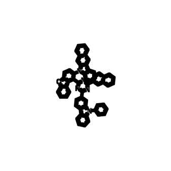 c1ccc(-n2c3ccccc3c3ccc(-c4nc(-c5ccc6ccccc6c5)nc(-c5c(-n6c7ccccc7c7cc8ccccc8cc76)ccc6oc7ccccc7c56)n4)cc32)cc1